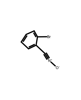 [O-][N+]#Cc1ccccc1Br